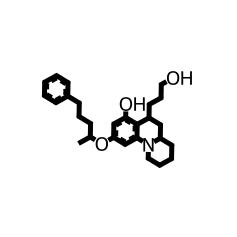 CC(CCCc1ccccc1)Oc1cc(O)c2c(c1)N1CCCCC1CC2CCCO